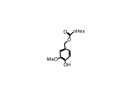 CCCCCCC(=O)OCc1ccc(O)c(OC)c1